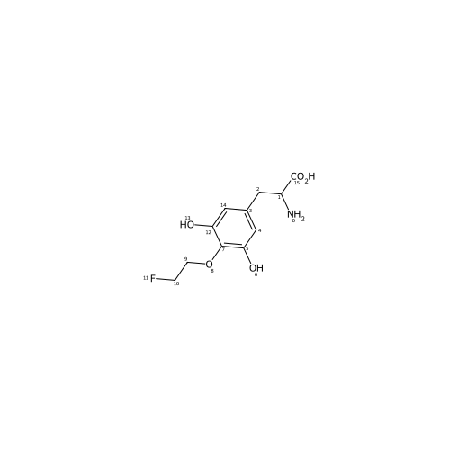 NC(Cc1cc(O)c(OCCF)c(O)c1)C(=O)O